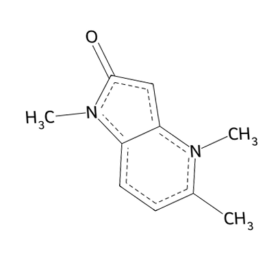 Cc1ccc2n(C)c(=O)cc-2n1C